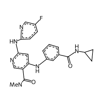 CNC(=O)c1cnc(Nc2ccc(F)cn2)cc1Nc1cccc(C(=O)NC2CC2)c1